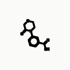 O=C(O)c1cccc(N2CCOCC2=O)c1